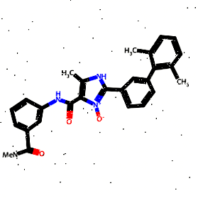 CNC(=O)c1cccc(NC(=O)c2c(C)[nH]c(-c3cccc(-c4c(C)cccc4C)c3)[n+]2[O-])c1